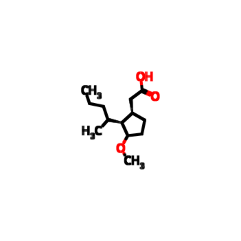 CCCC(C)[C@@H]1C(OC)CC[C@@H]1CC(=O)O